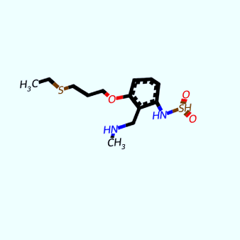 CCSCCCOc1cccc(N[SH](=O)=O)c1CNC